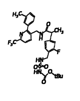 Cc1cccc(-c2nc(C(F)(F)F)ccc2CNC(=O)C(C)c2ccc(CNS(=O)(=O)NC(=O)OC(C)(C)C)c(F)c2)c1